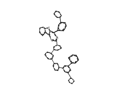 c1ccc(-c2cc(-c3ccccc3)cc(-c3cccc(-c4cccc(-c5cccc(-c6nc(-c7cccc(-c8ccccc8)c7)c7oc8ccccc8c7n6)c5)c4)c3)c2)cc1